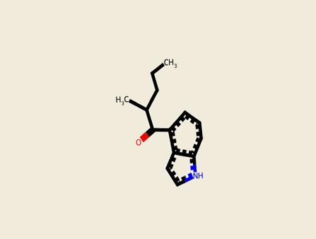 CCCC(C)C(=O)c1cccc2[nH]ccc12